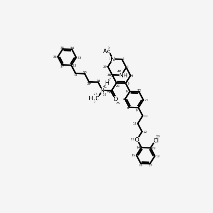 CC(=O)N1CC2CC(c3ccc(CCCOc4ccccc4Cl)cc3)=C(C(=O)N(C)CCCCc3ccccc3)[C@@H](C1)N2